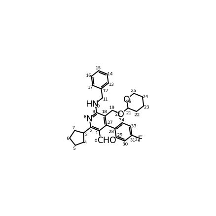 O=Cc1c(C2CCCC2)nc(NCc2ccccc2)c(COC2CCCCO2)c1-c1ccc(F)cc1